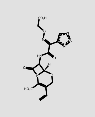 C=CC1=C(C(=O)O)N2C(=O)C(NC(=O)C(=NOCC(=O)O)c3cnsn3)[C@@H]2SC1